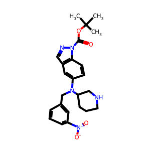 CC(C)(C)OC(=O)n1ncc2cc(N(Cc3cccc([N+](=O)[O-])c3)C3CCCNC3)ccc21